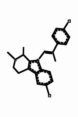 CC(=Cn1c2c(c3cc(Cl)ccc31)CCN(C)C2C)c1ccc(Cl)cc1